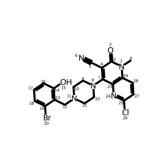 Cn1c(=O)c(C#N)c(N2CCN(Cc3c(O)cccc3Br)CC2)c2nc(Cl)ccc21